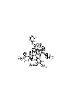 CCN1CCN(C(=O)NC(C(=O)N[C@@]2(C(=O)OCc3ccccc3)N3C(=O)[C@@H](NC=O)[C@H]3S(=O)(=O)C2(C)C)c2ccc(OC(C)=O)c(OC(C)=O)c2)C(=O)C1=O